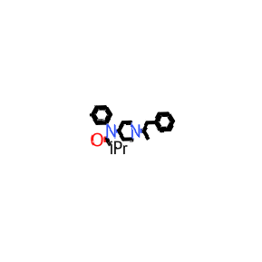 CC(C)C(=O)N(c1ccccc1)C1CCN(C(C)Cc2ccccc2)CC1